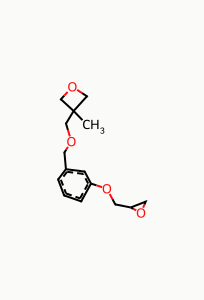 CC1(COCc2cccc(OCC3CO3)c2)COC1